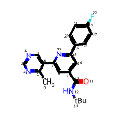 Cc1ncncc1-c1cc(C(=O)NC(C)(C)C)cc(-c2ccc(F)cc2)n1